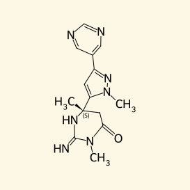 CN1C(=N)N[C@](C)(c2cc(-c3cncnc3)nn2C)CC1=O